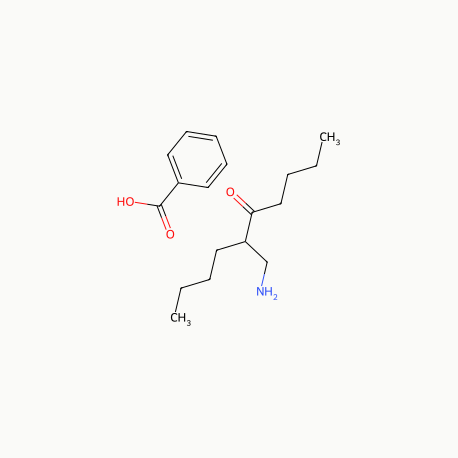 CCCCC(=O)C(CN)CCCC.O=C(O)c1ccccc1